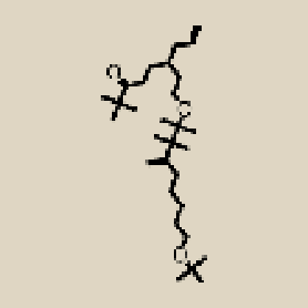 C=CCC(CCOC(C)(C)C(C)(C)C(=C)CCCCCOC(C)(C)C)CCC(=O)C(C)(C)C